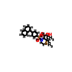 CC1(C)SCCN(S(=O)(=O)c2ccc(-c3cccc4ccccc34)cc2)[C@H]1C(=O)O